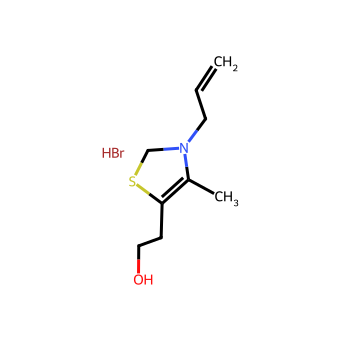 Br.C=CCN1CSC(CCO)=C1C